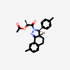 CC(=O)O[C@@H](C)C(=O)N1N=C2c3cc(C)ccc3CC[C@H]2[C@@H]1c1ccc(C)cc1